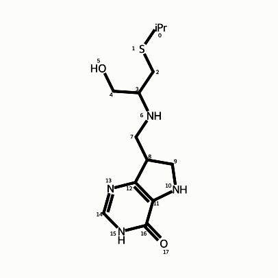 CC(C)SCC(CO)NCC1CNc2c1nc[nH]c2=O